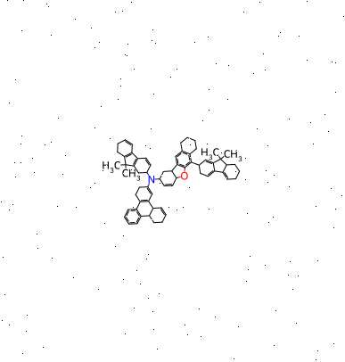 CC1(C)C2=C(C=CCC2)C2=C1CC(N(C1=CC3=C(CC1)c1ccccc1C1CCC=CC31)C1C=CC3Oc4c(cc5c(c4C4C=C6C(=CC4)C4=CCCCC4C6(C)C)CCCC5)C3C1)C=C2